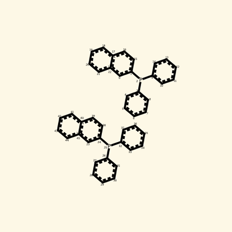 [c]1c(P(c2ccccc2)c2ccccc2)ccc2ccccc12.[c]1c(P(c2ccccc2)c2ccccc2)ccc2ccccc12